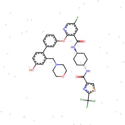 O=C(N[C@H]1CC[C@H](NC(=O)c2cc(F)cnc2Oc2cccc(-c3ccc(O)cc3CN3CCOCC3)c2)CC1)c1csc(C(F)(F)F)n1